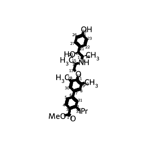 COC(=O)c1ccc(-c2cc(C)c(OC[C@H](C)N[C@@H](C)[C@@H](O)c3ccc(O)cc3)c(C)c2)cc1C(C)C